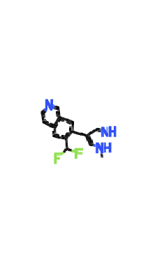 CN/C=C(\C=N)c1cc2cnccc2cc1C(F)F